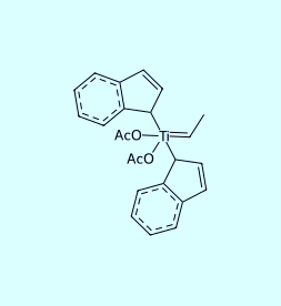 C[CH]=[Ti]([O]C(C)=O)([O]C(C)=O)([CH]1C=Cc2ccccc21)[CH]1C=Cc2ccccc21